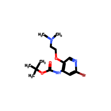 CN(C)CCOc1cnc(Br)cc1NC(=O)OC(C)(C)C